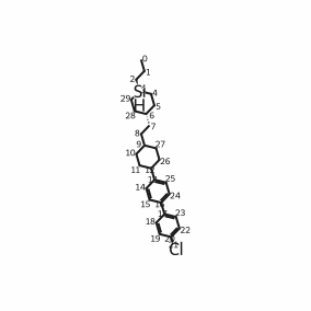 CCC[Si@H]1CC[C@H](CCC2CCC(c3ccc(-c4ccc(Cl)cc4)cc3)CC2)CC1